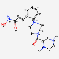 CN1CCN(C)C(C(=O)N2CCN(c3ccccc3C=CC(=O)NO)CC2)C1